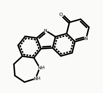 O=C1C=CN=c2ccc3c(c21)N=c1ccc2c(c1=3)NNCCC2